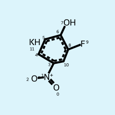 O=[N+]([O-])c1ccc(O)c(F)c1.[KH]